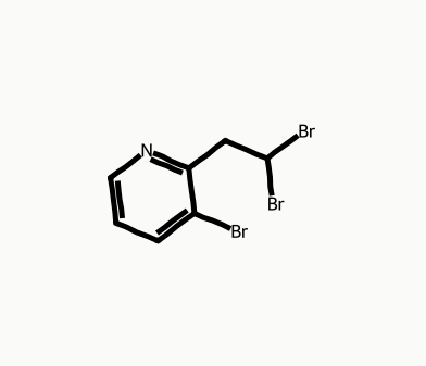 Brc1cccnc1CC(Br)Br